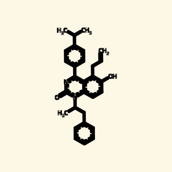 C=CCc1c(O)ccc2c1c(-c1ccc(C(C)C)cc1)nc(=O)n2C(C)Cc1ccccc1